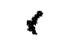 COCCOc1cc2c(-n3ncc4cc(OCc5ccccc5)ccc43)cnnc2cc1OC